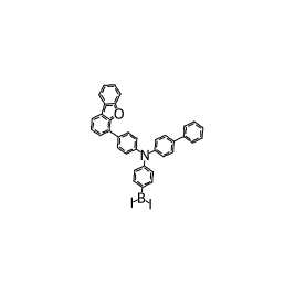 IB(I)c1ccc(N(c2ccc(-c3ccccc3)cc2)c2ccc(-c3cccc4c3oc3ccccc34)cc2)cc1